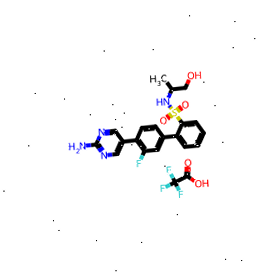 CC(CO)NS(=O)(=O)c1ccccc1-c1ccc(-c2cnc(N)nc2)c(F)c1.O=C(O)C(F)(F)F